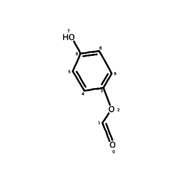 O=[C]Oc1ccc(O)cc1